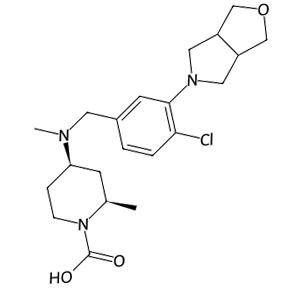 C[C@@H]1C[C@H](N(C)Cc2ccc(Cl)c(N3CC4COCC4C3)c2)CCN1C(=O)O